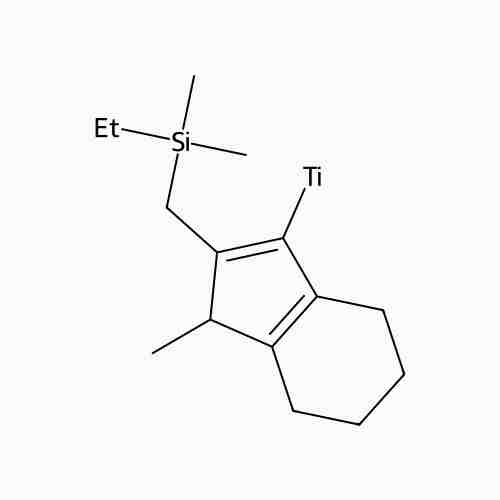 CC[Si](C)(C)CC1=[C]([Ti])C2=C(CCCC2)C1C